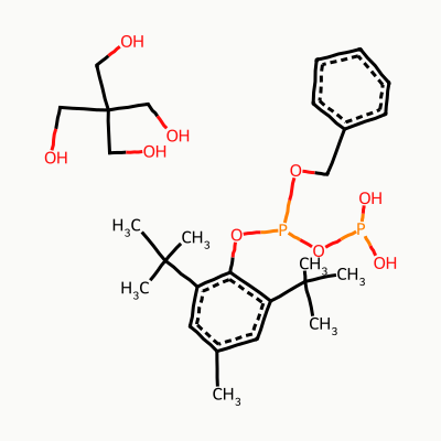 Cc1cc(C(C)(C)C)c(OP(OCc2ccccc2)OP(O)O)c(C(C)(C)C)c1.OCC(CO)(CO)CO